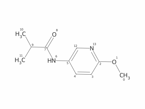 COc1ccc(NC(=O)C(C)C)cn1